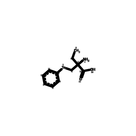 CCC(N)(C[Te]c1ccccc1)C(=O)O